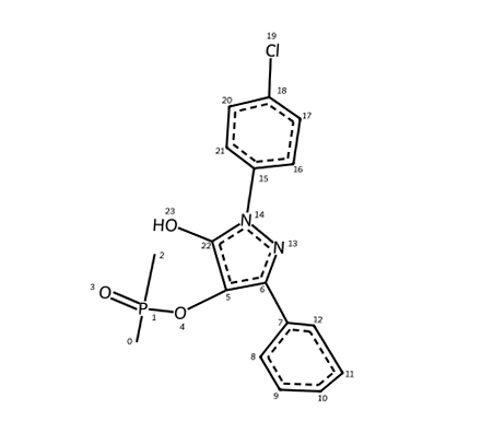 CP(C)(=O)Oc1c(-c2ccccc2)nn(-c2ccc(Cl)cc2)c1O